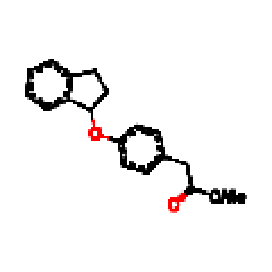 COC(=O)Cc1ccc(OC2CCc3ccccc32)cc1